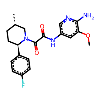 COc1cc(NC(=O)C(=O)N2C[C@@H](C)CC[C@@H]2c2ccc(F)cc2)cnc1N